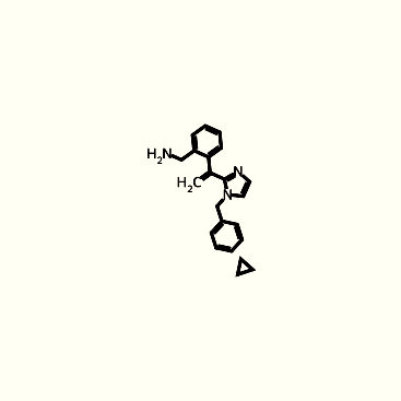 C1CC1.C=C(c1ccccc1CN)c1nccn1Cc1ccccc1